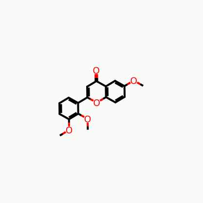 COc1ccc2oc(-c3cccc(OC)c3OC)cc(=O)c2c1